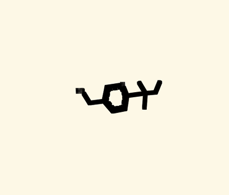 CCC(C)(C)c1ccc(CO)cn1